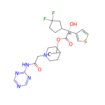 O=C(C[N+]12CCC(CC1)C(OC(=O)[C@](O)(c1ccsc1)C1CCC(F)(F)C1)C2)Nc1ncncn1